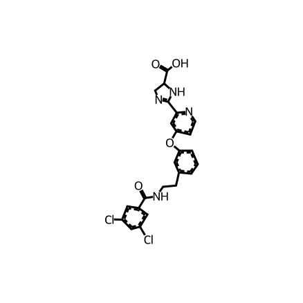 O=C(NCCc1cccc(Oc2ccnc(C3=NCC(C(=O)O)N3)c2)c1)c1cc(Cl)cc(Cl)c1